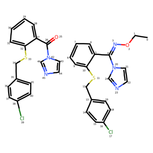 CCON=C(c1ccccc1SCc1ccc(Cl)cc1)n1ccnc1.O=C(c1ccccc1SCc1ccc(Cl)cc1)n1ccnc1